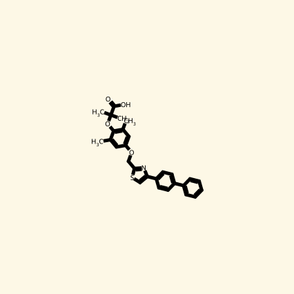 Cc1cc(OCc2nc(-c3ccc(-c4ccccc4)cc3)cs2)cc(C)c1OC(C)(C)C(=O)O